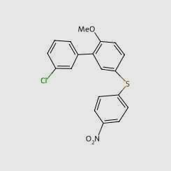 COc1ccc(Sc2ccc([N+](=O)[O-])cc2)cc1-c1cccc(Cl)c1